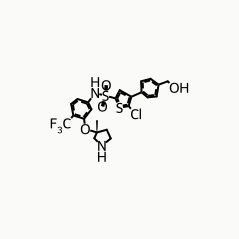 C[C@@]1(Oc2cc(NS(=O)(=O)c3cc(-c4ccc(CO)cc4)c(Cl)s3)ccc2C(F)(F)F)CCNC1